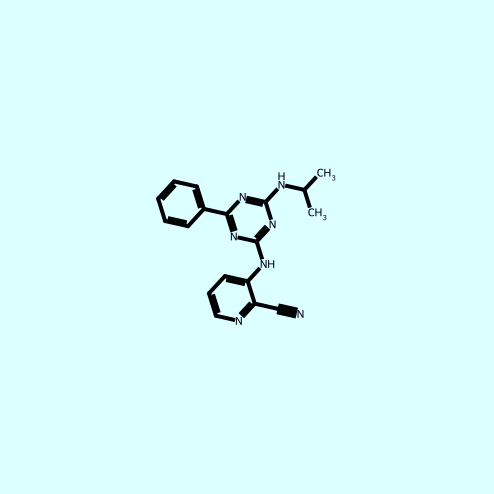 CC(C)Nc1nc(Nc2cccnc2C#N)nc(-c2ccccc2)n1